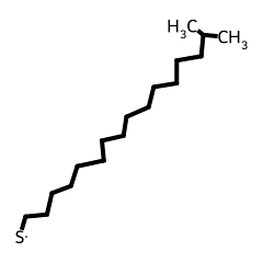 CC(C)CCCCCCCCCCCCCC[S]